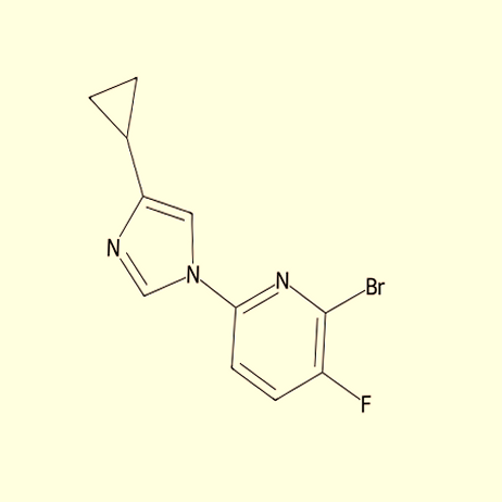 Fc1ccc(-n2cnc(C3CC3)c2)nc1Br